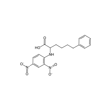 O=C(O)C(CCCCc1ccccc1)Nc1ccc([N+](=O)[O-])cc1[N+](=O)[O-]